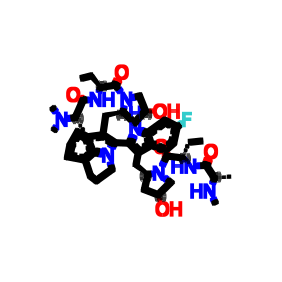 CC[C@H](NC(=O)[C@H](C)NC)C(=O)N1C[C@@H](O)C[C@H]1Cc1c(-c2c(C[C@@H]3C[C@H](O)CN3C(=O)[C@H](CC)NC(=O)[C@H](C)N(C)C)c3cccc4c3n2CCC4)[nH]c2cc(F)ccc12